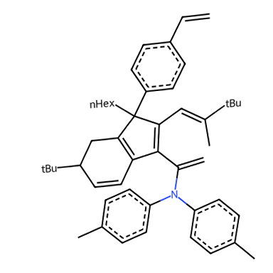 C=Cc1ccc(C2(CCCCCC)C(/C=C(\C)C(C)(C)C)=C(C(=C)N(c3ccc(C)cc3)c3ccc(C)cc3)C3=C2CC(C(C)(C)C)C=C3)cc1